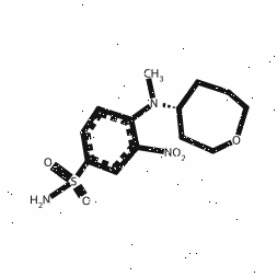 CN(c1ccc(S(N)(=O)=O)cc1[N+](=O)[O-])[C@@H]1CCCOCC1